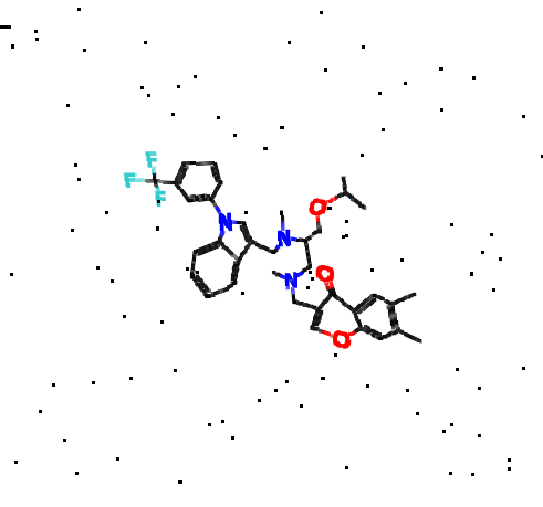 Cc1cc2occ(CN(C)CC(COC(C)C)N(C)Cc3cn(-c4cccc(C(F)(F)F)c4)c4ccccc34)c(=O)c2cc1C